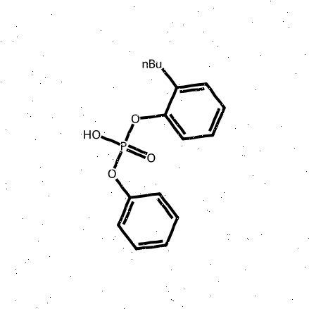 CCCCc1ccccc1OP(=O)(O)Oc1ccccc1